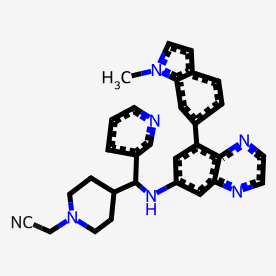 Cn1ccc2ccc(-c3cc(NC(c4cccnc4)C4CCN(CC#N)CC4)cc4nccnc34)cc21